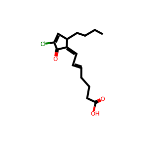 CCCCC1C=C(Cl)C(=O)C1=CC=CCCCC(=O)O